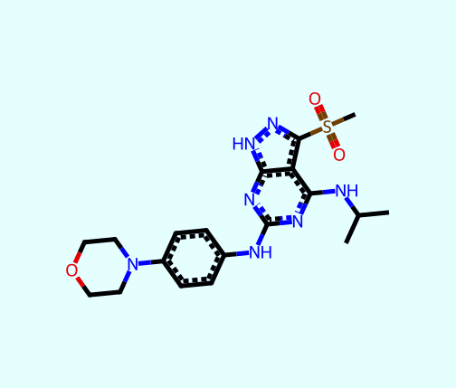 CC(C)Nc1nc(Nc2ccc(N3CCOCC3)cc2)nc2[nH]nc(S(C)(=O)=O)c12